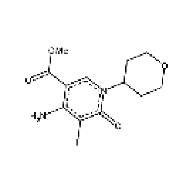 COC(=O)c1cn(C2CCOCC2)c(=O)c(I)c1N